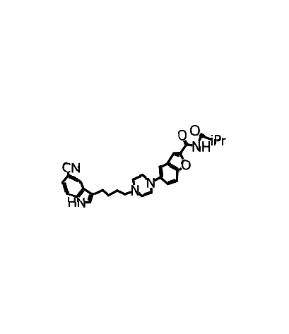 CC(C)C(=O)NC(=O)c1cc2cc(N3CCN(CCCCc4c[nH]c5ccc(C#N)cc45)CC3)ccc2o1